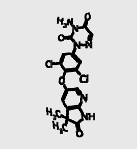 CC1(C)C(=O)Nc2ncc(Oc3c(Cl)cc(-n4ncc(=O)n(N)c4=O)cc3Cl)cc21